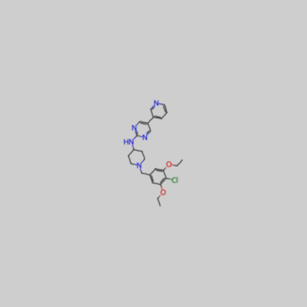 CCOc1cc(CN2CCC(Nc3ncc(-c4cccnc4)cn3)CC2)cc(OCC)c1Cl